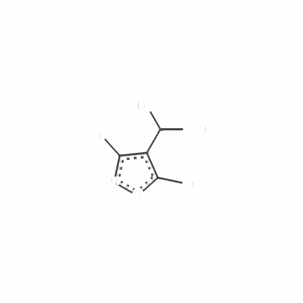 CC(C)c1noc(C(C)C)c1C(C(=O)O)C(C)(C)C